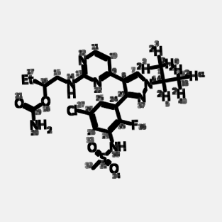 [2H]C([2H])([2H])C([2H])(n1cc(-c2ccnc(NC[C@H](CC)OC(N)=O)n2)c(-c2cc(Cl)cc(NS(C)(=O)=O)c2F)n1)C([2H])([2H])[2H]